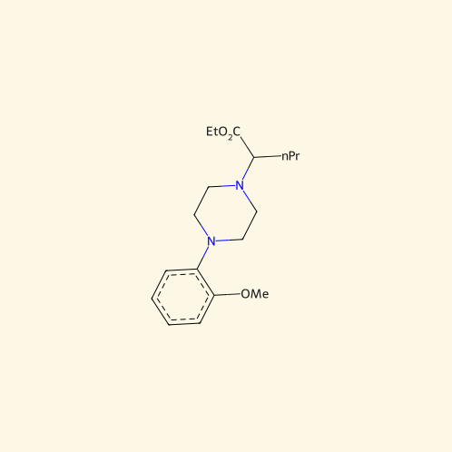 CCCC(C(=O)OCC)N1CCN(c2ccccc2OC)CC1